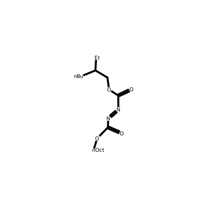 CCCCCCCCOC(=O)N=NC(=O)OCC(CC)CCCC